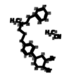 CC#N.CN(CCCc1ccc(C2CCC(Br)C(Br)C2)cc1)CCc1ccccc1